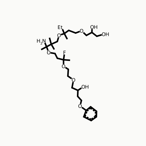 CCC(C)(CCOCC(O)CO)OCC(C)(C)C(C)(N)OCCC(C)(F)OCCOCC(O)CCOc1ccccc1